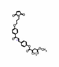 C=C(CC(=O)OC)C(=O)Oc1ccc(/C=C/C(=O)c2ccc(OCCCN3C(=O)C=CC3=O)cc2)cc1